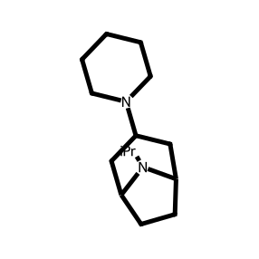 CC(C)N1C2CCC1CC(N1CCCCC1)C2